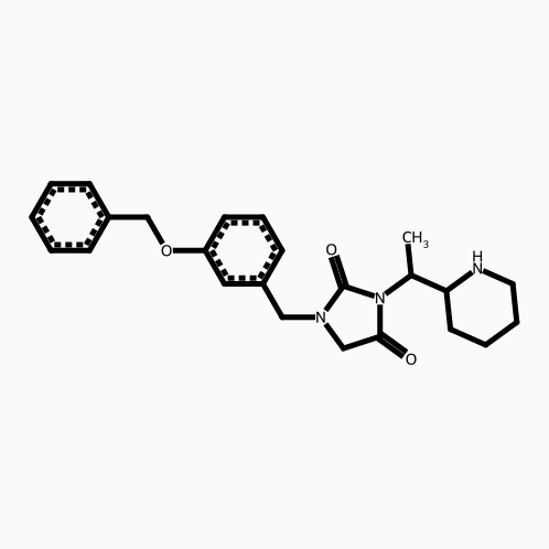 CC(C1CCCCN1)N1C(=O)CN(Cc2cccc(OCc3ccccc3)c2)C1=O